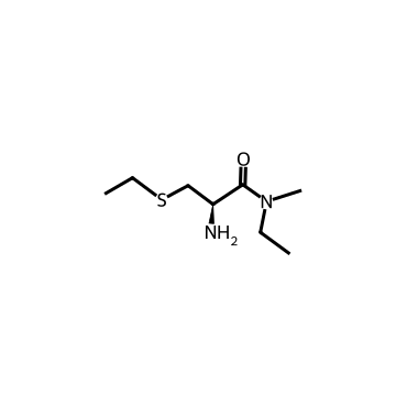 CCSC[C@H](N)C(=O)N(C)CC